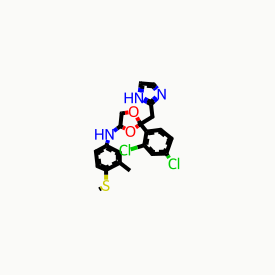 CSc1ccc(NC2COC(Cc3ncc[nH]3)(c3ccc(Cl)cc3Cl)O2)cc1C